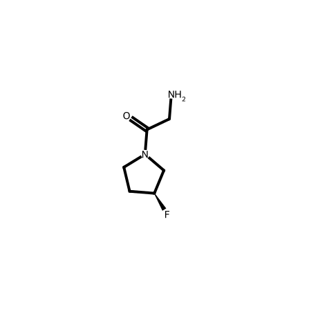 NCC(=O)N1CC[C@H](F)C1